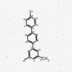 Cc1cc(I)cc(-c2ccc(-c3ccc(I)cc3)cc2)c1